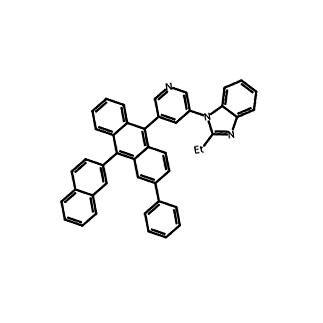 CCc1nc2ccccc2n1-c1cncc(-c2c3ccccc3c(-c3ccc4ccccc4c3)c3cc(-c4ccccc4)ccc23)c1